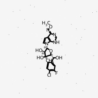 CON=c1nc[nH]c2c1ccn2[C@@H]1O[C@H](C(O)c2ccc(Cl)c(F)c2)[C@@](C)(O)[C@H]1O